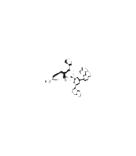 c1ccc(-c2ccc3c(-c4ccccc4)nc(-c4cc(-c5cccc6ccccc56)cc(-c5ccc6ccc7cccc8ccc5c6c78)c4)nc3c2)cc1